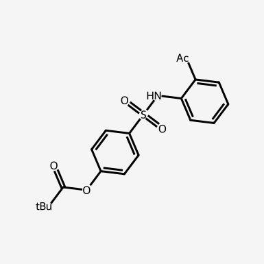 CC(=O)c1ccccc1NS(=O)(=O)c1ccc(OC(=O)C(C)(C)C)cc1